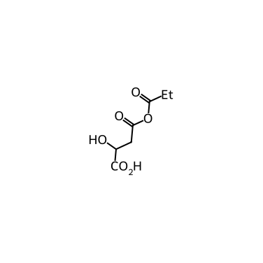 CCC(=O)OC(=O)CC(O)C(=O)O